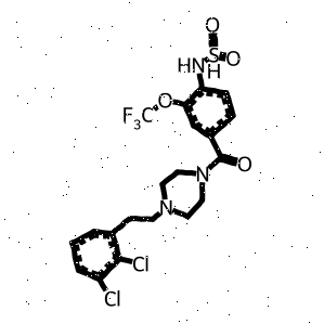 O=C(c1ccc(N[SH](=O)=O)c(OC(F)(F)F)c1)N1CCN(CCc2cccc(Cl)c2Cl)CC1